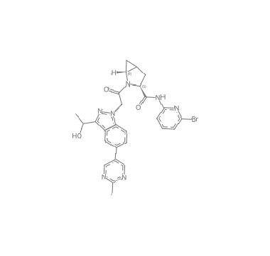 Cc1ncc(-c2ccc3c(c2)c(C(C)O)nn3CC(=O)N2[C@@H]3CC3C[C@H]2C(=O)Nc2cccc(Br)n2)cn1